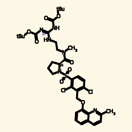 Cc1ccc2cccc(OCc3c(Cl)ccc(S(=O)(=O)N4CCC[C@H]4C(=O)N(C)CCN/C(=N\C(=O)OC(C)(C)C)NC(=O)OC(C)(C)C)c3Cl)c2n1